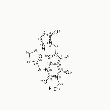 Cc1c(Cn2[nH]ccc2=O)sc2c1c(=O)n(CC(F)(F)F)c(=O)n2CC1CCCO1